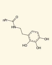 CCCC(=O)NCCc1ccc(O)c(O)c1O